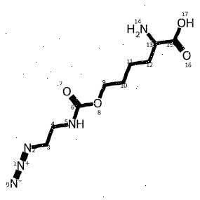 [N-]=[N+]=NCCNC(=O)OCCCCC(N)C(=O)O